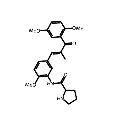 COc1ccc(OC)c(C(=O)C(C)=Cc2ccc(OC)c(NC(=O)C3CCCN3)c2)c1